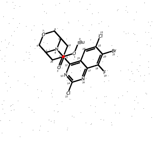 CC(C)(C)OC(=O)N1C2COCC1CN(c1nc(Cl)nc3c(F)c(Br)c(Cl)cc13)C2